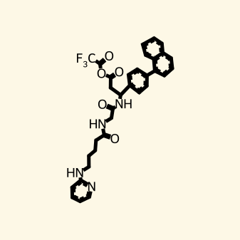 O=C(CCCCNc1ccccn1)NCC(=O)NC(CC(=O)OC(=O)C(F)(F)F)c1ccc(-c2cccc3ccccc23)cc1